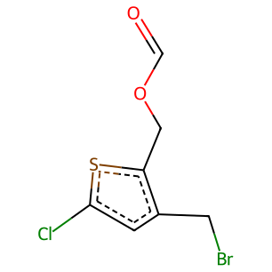 O=COCc1sc(Cl)cc1CBr